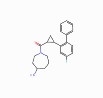 NC1CCCN(C(=O)C2CC2c2cc(F)ccc2-c2ccccc2)CC1